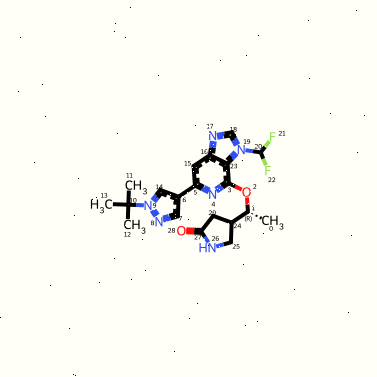 C[C@@H](Oc1nc(-c2cnn(C(C)(C)C)c2)cc2ncn(C(F)F)c12)C1CNC(=O)C1